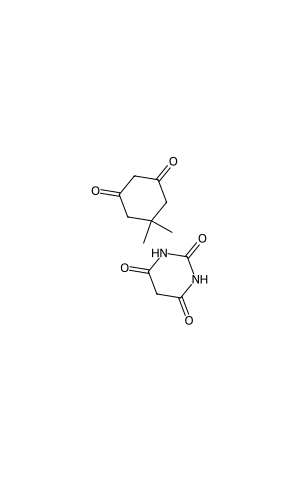 CC1(C)CC(=O)CC(=O)C1.O=C1CC(=O)NC(=O)N1